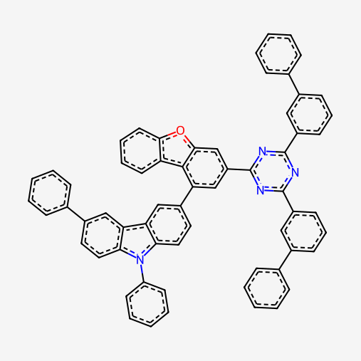 c1ccc(-c2cccc(-c3nc(-c4cccc(-c5ccccc5)c4)nc(-c4cc(-c5ccc6c(c5)c5cc(-c7ccccc7)ccc5n6-c5ccccc5)c5c(c4)oc4ccccc45)n3)c2)cc1